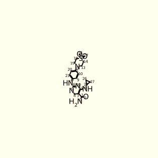 NC(=O)c1cnc(Nc2ccc(N3CCS(=O)(=O)CC3)cc2)nc1NC1CC1